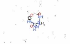 CN1CCNC(=O)CCCOc2cccc(c2)N/C=C2\C(=O)Nc3ncnc1c32